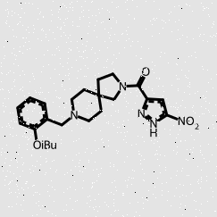 CC(C)COc1ccccc1CN1CCC2(CC1)CCN(C(=O)c1cc([N+](=O)[O-])[nH]n1)C2